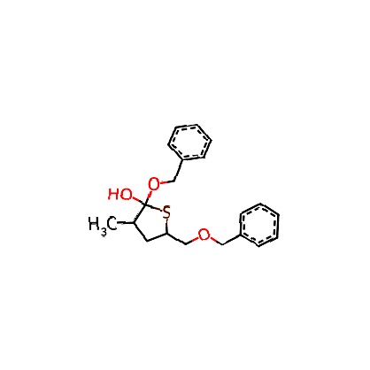 CC1CC(COCc2ccccc2)SC1(O)OCc1ccccc1